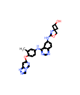 Cc1cc(Nc2ncnc3ccc(NC4=NC5(CO4)CC(O)C5)cc23)ccc1Oc1cc2nncn2cn1